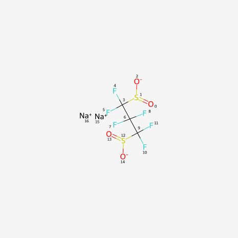 O=S([O-])C(F)(F)C(F)(F)C(F)(F)S(=O)[O-].[Na+].[Na+]